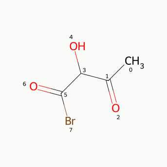 CC(=O)C(O)C(=O)Br